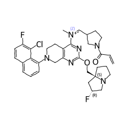 C=CC(=O)N1CCC(/C=[N+](/C)c2nc(OC[C@@]34CCCN3C[C@H](F)C4)nc3c2CCN(c2cccc4ccc(F)c(Cl)c24)C3)C1